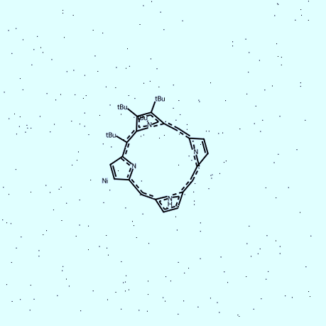 CC(C)(C)c1c(C(C)(C)C)c2c(C(C)(C)C)c3nc(cc4ccc(cc5nc(cc1n2C(C)(C)C)C=C5)[nH]4)C=C3.[Ni]